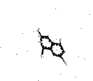 Fc1cc(Cl)cc2c(Cl)nc(Cl)cc12